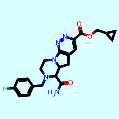 NC(=O)C1C2Cc3cc(C(=O)OCC4CC4)nnc3N2CCN1Cc1ccc(F)cc1